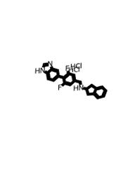 Cl.Cl.Fc1cc(CNC2Cc3ccccc3C2)cc(F)c1-c1ccc2[nH]cnc2c1